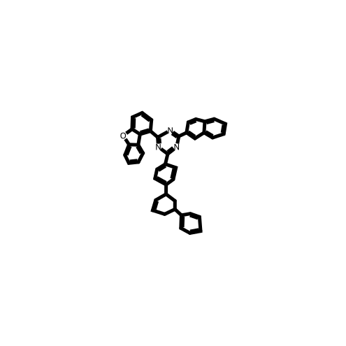 C1=CC(c2ccc(-c3nc(-c4ccc5ccccc5c4)nc(-c4cccc5oc6ccccc6c45)n3)cc2)CC(c2ccccc2)C1